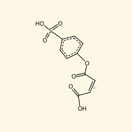 O=C(O)/C=C\C(=O)Oc1ccc(S(=O)(=O)O)cc1